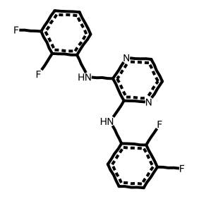 Fc1cccc(Nc2nccnc2Nc2cccc(F)c2F)c1F